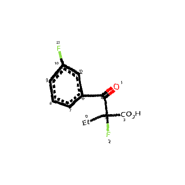 CCC(F)(C(=O)O)C(=O)c1cccc(F)c1